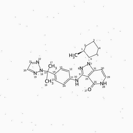 C[C@H]1CCCC[C@@H]1n1nc(Nc2ccc(C(C)(C)n3nccn3)cc2)c2c(=O)[nH]ccc21